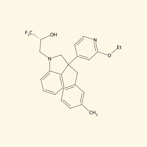 CCOc1cc(C2(Cc3cccc(C)c3)CN(C[C@@H](O)C(F)(F)F)c3ccccc32)ccn1